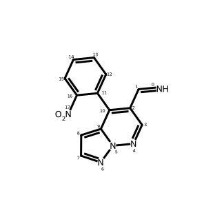 N=Cc1cnn2nccc2c1-c1ccccc1[N+](=O)[O-]